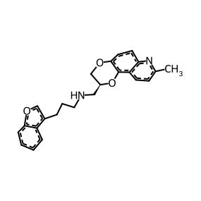 Cc1ccc2c3c(ccc2n1)OC[C@H](CNCCCc1coc2ccccc12)O3